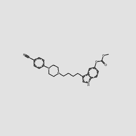 COC(=O)Oc1ccc2[nH]cc(CCCCN3CCN(c4ccc(C#N)cc4)CC3)c2c1